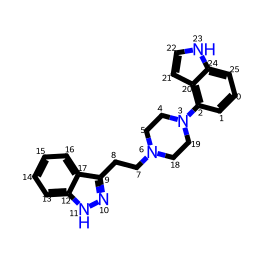 c1cc(N2CCN(CCc3n[nH]c4ccccc34)CC2)c2cc[nH]c2c1